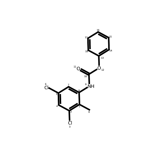 Cc1c(Cl)cc(Cl)cc1NC(=O)Oc1ccccc1